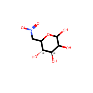 O=[N+]([O-])CC1OC(O)C(O)[C@@H](O)[C@@H]1O